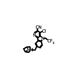 N#Cc1cnc2c3cc(CN4CC5CC(C4)N5)ccc3n(CC(F)(F)F)c2c1Cl